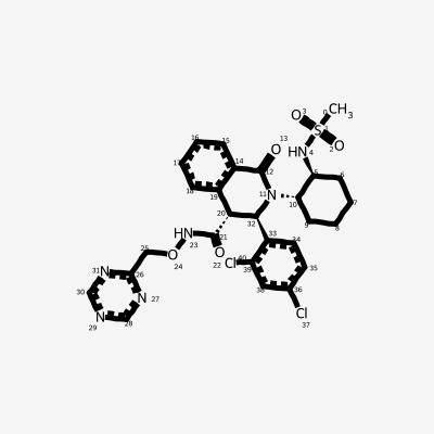 CS(=O)(=O)N[C@H]1CCCC[C@@H]1N1C(=O)c2ccccc2[C@@H](C(=O)NOCc2ncncn2)[C@@H]1c1ccc(Cl)cc1Cl